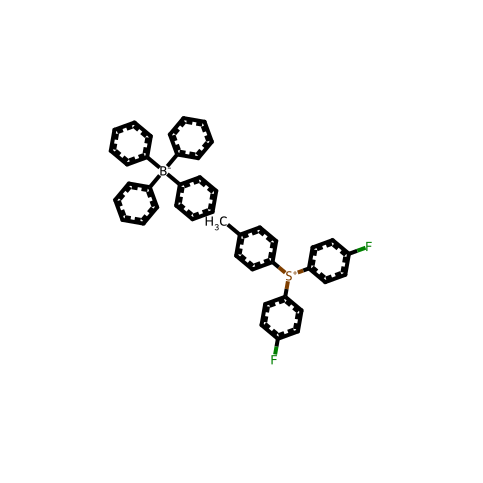 Cc1ccc([S+](c2ccc(F)cc2)c2ccc(F)cc2)cc1.c1ccc([B-](c2ccccc2)(c2ccccc2)c2ccccc2)cc1